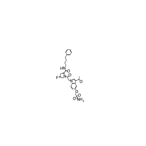 CC(=O)c1cn(CC(=O)N2C[C@H](F)C[C@H]2C(=O)NCCCCc2ccccc2)c2ccc(OCS(N)(=O)=O)cc12